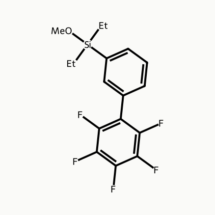 CC[Si](CC)(OC)c1cccc(-c2c(F)c(F)c(F)c(F)c2F)c1